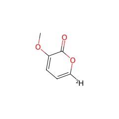 [2H]c1ccc(OC)c(=O)o1